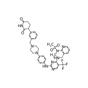 CN(c1ncccc1CNc1nc(Nc2ccc(N3CCN(Cc4cccc(C5CCC(=O)NC5=O)c4)CC3)cc2)ncc1C(F)(F)F)S(C)(=O)=O